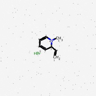 Br.C=CC1C=CC=CN1C